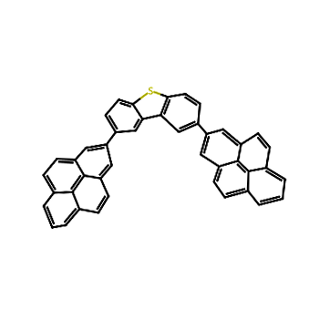 c1cc2ccc3cc(-c4ccc5sc6ccc(-c7cc8ccc9cccc%10ccc(c7)c8c9%10)cc6c5c4)cc4ccc(c1)c2c34